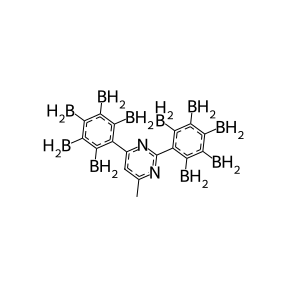 Bc1c(B)c(B)c(-c2cc(C)nc(-c3c(B)c(B)c(B)c(B)c3B)n2)c(B)c1B